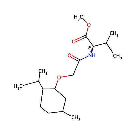 COC(=O)[C@H](NC(=O)COC1CC(C)CCC1C(C)C)C(C)C